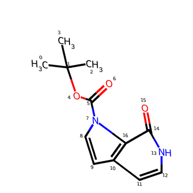 CC(C)(C)OC(=O)n1ccc2cc[nH]c(=O)c21